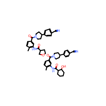 Cc1ccc(C(=O)N2CCC(c3ccc(C#N)cc3)CC2)cc1NC(=O)C1CCCCC1O.Cc1ccc(C(=O)N2CCC(c3ccc(C#N)cc3)CC2)cc1NC(=O)C1CCOC1